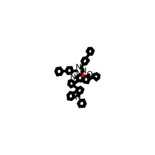 c1ccc(-c2ccc(-c3nc(-c4ccc(-c5ccccc5)cc4-n4c5ccccc5c5c(-c6cccc7c6c6ccccc6n7-c6ccccc6)cccc54)nc(-c4cccc5c4oc4ccccc45)n3)cc2)cc1